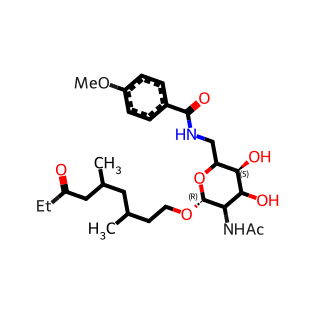 CCC(=O)CC(C)CC(C)CCO[C@@H]1OC(CNC(=O)c2ccc(OC)cc2)[C@@H](O)C(O)C1NC(C)=O